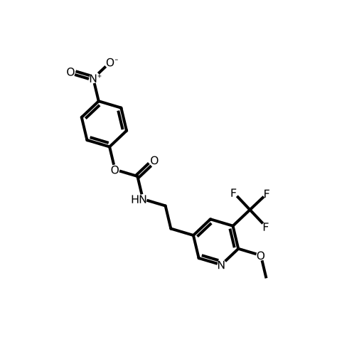 COc1ncc(CCNC(=O)Oc2ccc([N+](=O)[O-])cc2)cc1C(F)(F)F